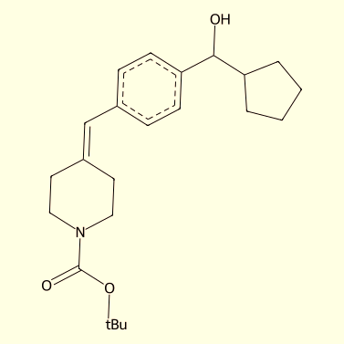 CC(C)(C)OC(=O)N1CCC(=Cc2ccc(C(O)C3CCCC3)cc2)CC1